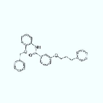 O=C(Nc1ccccc1OCc1ccccc1)c1cccc(OCCCc2ccccc2)c1